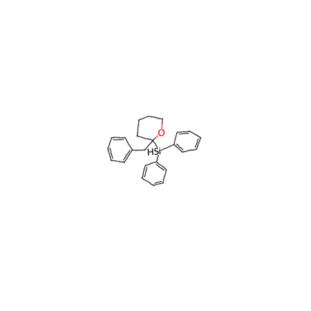 c1ccc(CC2([SiH](c3ccccc3)c3ccccc3)CCCCO2)cc1